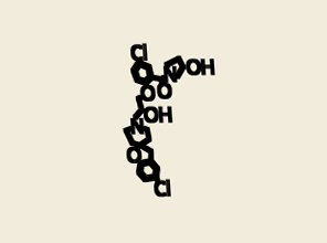 O=C(c1cc(Cl)ccc1OC[C@@H](O)CN1CCC2(CC1)Cc1cc(Cl)ccc1O2)N1CC[C@H](O)C1